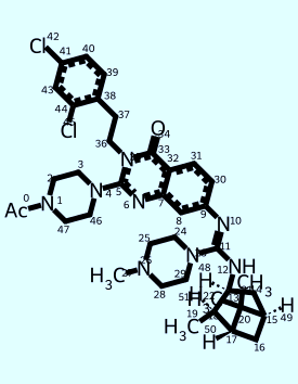 CC(=O)N1CCN(c2nc3cc(N=C(N[C@H]4C[C@H]5C[C@H]([C@H]4C)C5(C)C)N4CCN(C)CC4)ccc3c(=O)n2CCc2ccc(Cl)cc2Cl)CC1